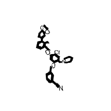 Cc1c(COc2cc(OCc3cccc(C#N)c3)c(CN3CCCCC3)cc2Cl)cccc1-c1ccc2c(c1)OCCO2